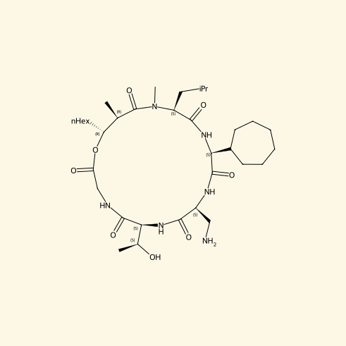 CCCCCC[C@H]1OC(=O)CNC(=O)[C@H]([C@H](C)O)NC(=O)[C@H](CN)NC(=O)[C@H](C2CCCCCC2)NC(=O)[C@H](CC(C)C)N(C)C(=O)[C@@H]1C